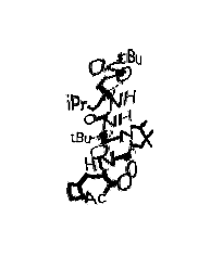 CC(=O)C(=O)C(CC1CCC1)NC(=O)[C@@H]1CC(C)(C)C(C)CN1C(=O)[C@@H](NC(=O)N[C@@](C)(CC(C)C)CS(=O)(=O)C(C)(C)C)C(C)(C)C